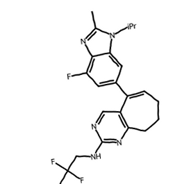 Cc1nc2c(F)cc(C3=CCCCc4nc(NCC(C)(F)F)ncc43)cc2n1C(C)C